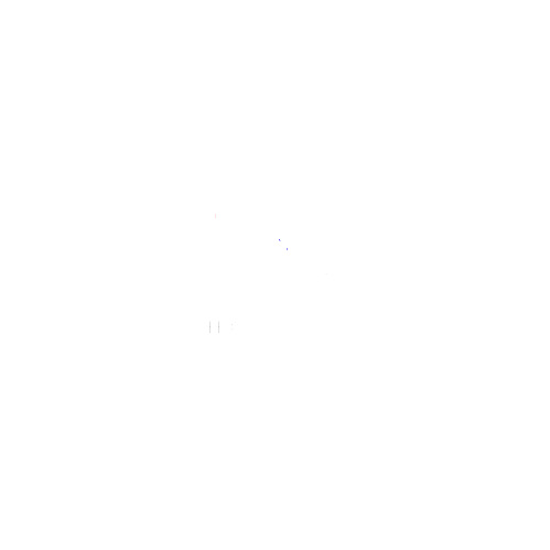 C[C@H]1CC(=O)N[C@H]1C(=O)O